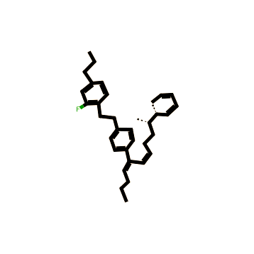 CCC/C=C(\C=C/CC[C@H](C)[C@H]1C=CC=CC1)c1ccc(CCc2ccc(CCC)cc2F)cc1